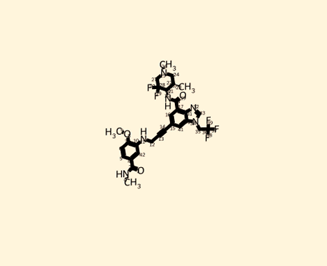 CNC(=O)c1ccc(OC)c(NCC#Cc2cc(C(=O)N[C@@H]3[C@@H](C)CN(C)CC3(F)F)c3ncn(CC(F)(F)F)c3c2)c1